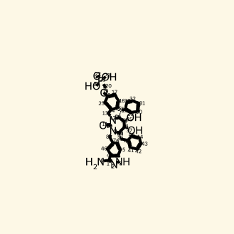 Nc1n[nH]c2ccc(CN3C(=O)N(Cc4cccc(OCP(=O)(O)O)c4)[C@H](Cc4ccccc4)[C@H](O)[C@@H](O)[C@H]3Cc3ccccc3)cc12